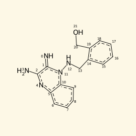 N=c1c(N)nc2ccccc2n1NCc1ccccc1CO